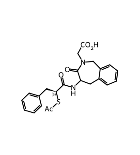 CC(=O)S[C@@H](Cc1ccccc1)C(=O)NC1Cc2ccccc2CN(CC(=O)O)C1=O